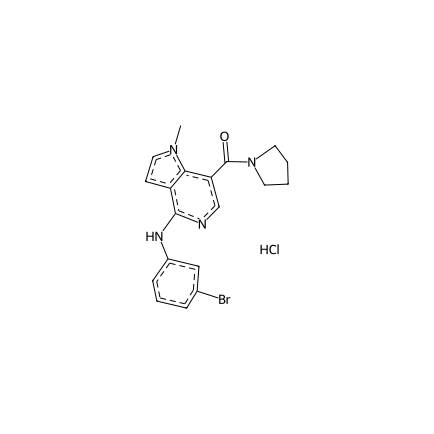 Cl.Cn1ccc2c(Nc3cccc(Br)c3)ncc(C(=O)N3CCCC3)c21